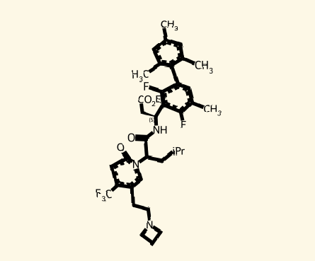 CCOC(=O)C[C@H](NC(=O)C(CC(C)C)n1cc(CCN2CCC2)c(C(F)(F)F)cc1=O)c1c(F)c(C)cc(-c2c(C)cc(C)cc2C)c1F